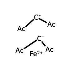 CC(=O)[CH-]C(C)=O.CC(=O)[CH-]C(C)=O.[Fe+2]